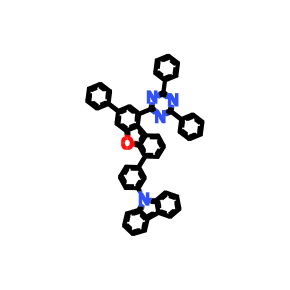 c1ccc(-c2cc(-c3nc(-c4ccccc4)nc(-c4ccccc4)n3)c3c(c2)oc2c(-c4cccc(-n5c6ccccc6c6ccccc65)c4)cccc23)cc1